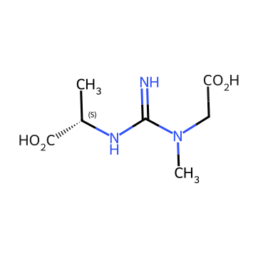 C[C@H](NC(=N)N(C)CC(=O)O)C(=O)O